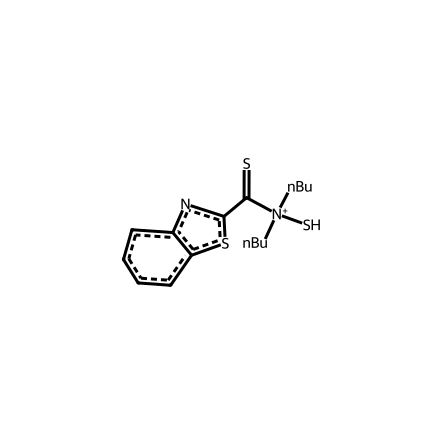 CCCC[N+](S)(CCCC)C(=S)c1nc2ccccc2s1